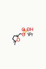 CC(C)P(=O)(O)OC[C@@H]1CC[C@H](C)O1